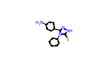 Nc1ccc(-c2n[nH]c(=S)n2-c2ccccc2)cc1